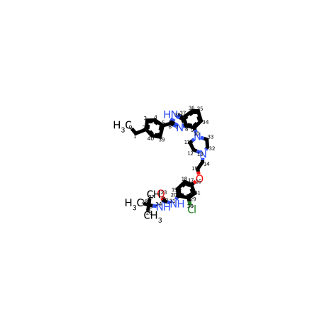 CCc1ccc(-c2nc3c(N4CCN(CCOc5ccc(NC(=O)NC(C)(C)C)c(Cl)c5)CC4)cccc3[nH]2)cc1